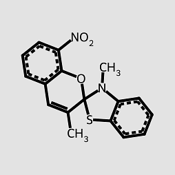 CC1=Cc2cccc([N+](=O)[O-])c2OC12Sc1ccccc1N2C